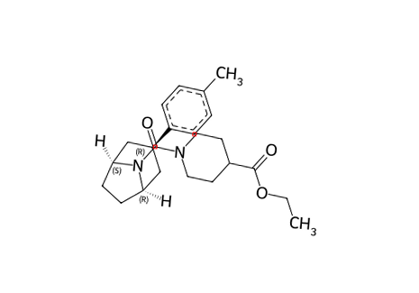 CCOC(=O)C1CCN(C(=O)N2[C@@H]3CC[C@H]2C[C@@H](c2ccc(C)cc2)C3)CC1